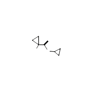 CC1(C(=O)OC2CC2)CC1